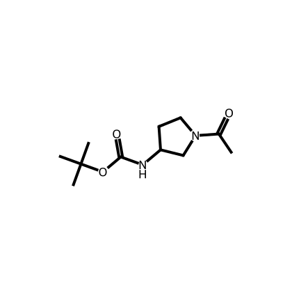 CC(=O)N1CCC(NC(=O)OC(C)(C)C)C1